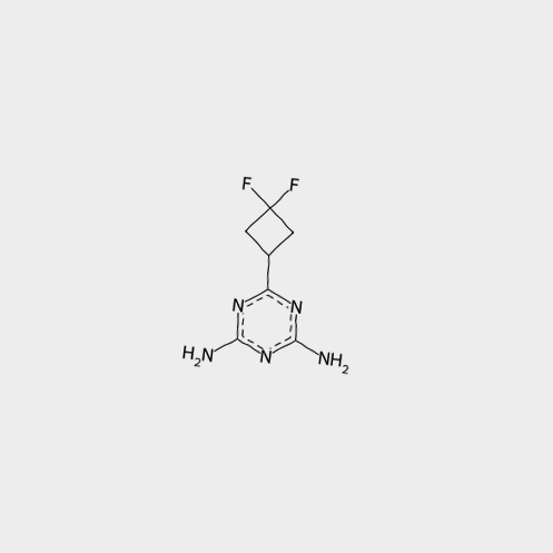 Nc1nc(N)nc(C2CC(F)(F)C2)n1